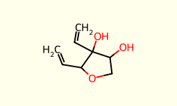 C=CC1OCC(O)C1(O)C=C